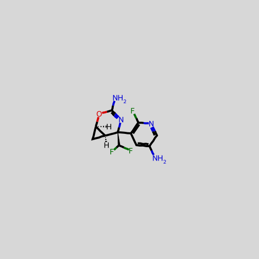 NC1=N[C@@](c2cc(N)cnc2F)(C(F)F)[C@H]2C[C@H]2O1